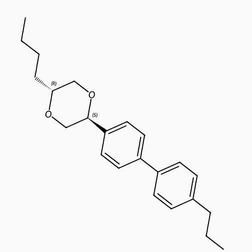 CCCC[C@@H]1CO[C@@H](c2ccc(-c3ccc(CCC)cc3)cc2)CO1